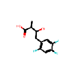 CC(C(=O)O)C(O)Cc1cc(F)c(F)cc1F